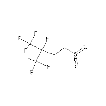 O=[SH](=O)CCC(F)(C(F)(F)F)C(F)(F)F